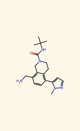 Cn1nccc1-c1ccc(CN)c2c1CCN(C(=O)NC(C)(C)C)C2